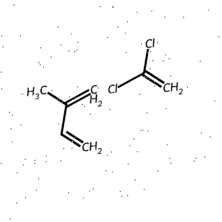 C=C(Cl)Cl.C=CC(=C)C